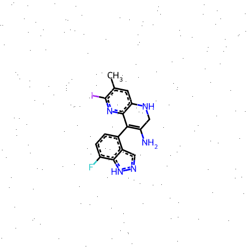 Cc1cc2c(nc1I)C(c1ccc(F)c3[nH]ncc13)=C(N)CN2